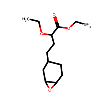 CCOC(CCC1CCC2OC2C1)C(=O)OC[SiH3]